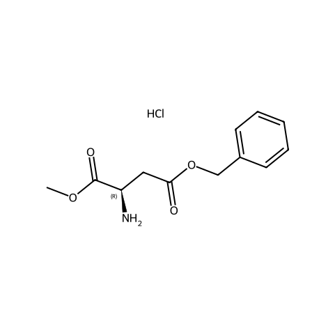 COC(=O)[C@H](N)CC(=O)OCc1ccccc1.Cl